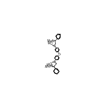 CNC(CB(CO)c1ccc(Oc2ccc(B(CO)CC(NC)c3ccccc3)cc2)cc1)c1ccccc1